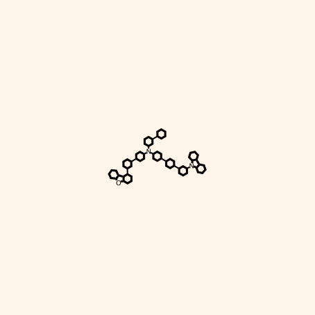 c1ccc(-c2cccc(N(c3ccc(-c4ccc(-c5cccc(-n6c7ccccc7c7ccccc76)c5)cc4)cc3)c3ccc(-c4cccc(-c5cccc6oc7ccccc7c56)c4)cc3)c2)cc1